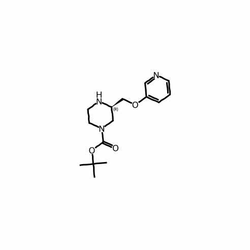 CC(C)(C)OC(=O)N1CCN[C@@H](COc2cccnc2)C1